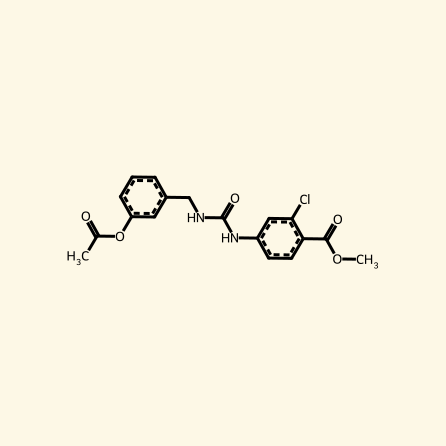 COC(=O)c1ccc(NC(=O)NCc2cccc(OC(C)=O)c2)cc1Cl